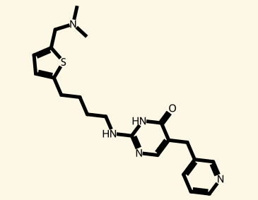 CN(C)Cc1ccc(CCCCNc2ncc(Cc3cccnc3)c(=O)[nH]2)s1